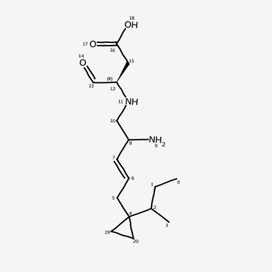 CCC(C)C1(CC=CC(N)CN[C@@H](C=O)CC(=O)O)CC1